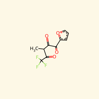 CC(C(=O)C(=O)c1ccco1)C(=O)C(F)(F)F